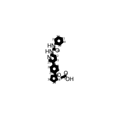 O=C(O)COC1(c2ccc(-c3ccc(NC(=O)Nc4ccccc4)nc3)cc2)CCCC1